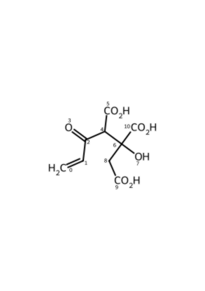 C=CC(=O)C(C(=O)O)C(O)(CC(=O)O)C(=O)O